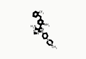 CN1CCN([C@H]2CC[C@@H](n3nc(-c4ccc(Cc5ccccc5C(F)(F)F)cc4N)c4c(N)ncnc43)CC2)CC1